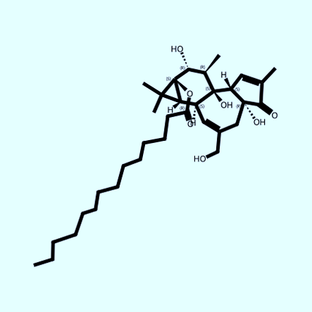 CCCCCCCCCCCCCC(=O)O[C@@]12[C@H](O)[C@@H](C)[C@@]3(O)[C@@H](C=C(CO)C[C@]4(O)C(=O)C(C)=C[C@@H]34)[C@@H]1C2(C)C